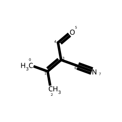 CC(C)=C([C]=O)C#N